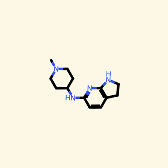 CN1CCC(Nc2ccc3c(n2)NCC3)CC1